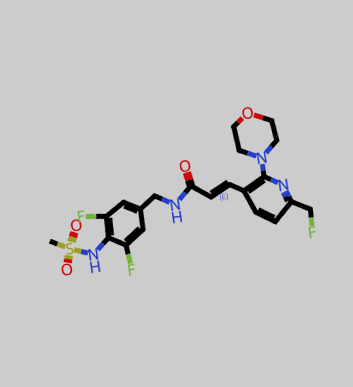 CS(=O)(=O)Nc1c(F)cc(CNC(=O)/C=C/c2ccc(CF)nc2N2CCOCC2)cc1F